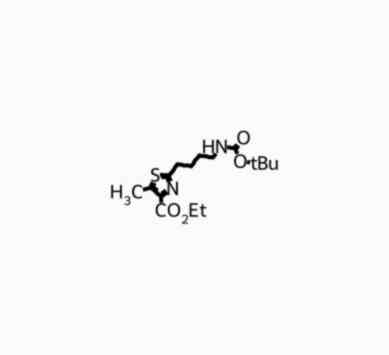 CCOC(=O)c1nc(CCCCNC(=O)OC(C)(C)C)sc1C